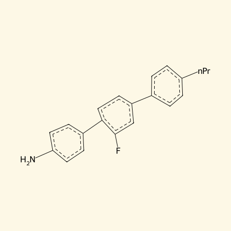 CCCc1ccc(-c2ccc(-c3ccc(N)cc3)c(F)c2)cc1